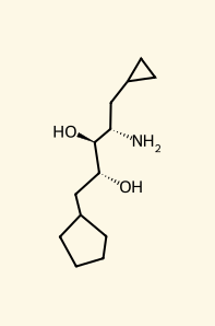 N[C@@H](CC1CC1)[C@H](O)[C@H](O)CC1CCCC1